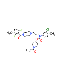 CC(=O)N1CCC(OC(=O)N(CCCN2CC3CN(C(=O)c4c(F)ccc(C)c4F)CC3C2)c2ccc(C)c(Cl)c2)CC1